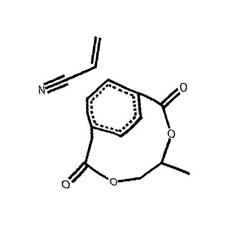 C=CC#N.CC1COC(=O)c2ccc(cc2)C(=O)O1